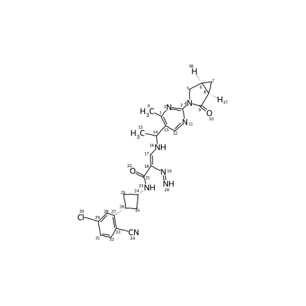 Cc1nc(N2C[C@H]3C[C@H]3C2=O)ncc1C(C)N/C=C(\N=N)C(=O)N[C@H]1C[C@@H](c2cc(Cl)ccc2C#N)C1